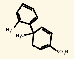 Cc1ccccc1C1(C)C=CC(S(=O)(=O)O)=CC1